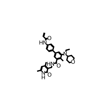 C=CC(=O)Nc1ccc(-c2cc(C(=O)NCc3c(C)cc(C)[nH]c3=O)c(C)c(N(CC)C3CCOCC3)c2)cc1